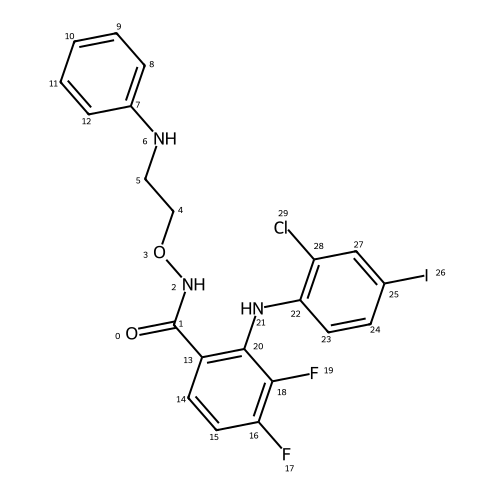 O=C(NOCCNc1ccccc1)c1ccc(F)c(F)c1Nc1ccc(I)cc1Cl